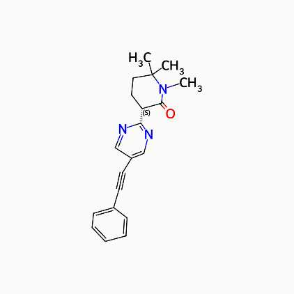 CN1C(=O)[C@H](c2ncc(C#Cc3ccccc3)cn2)CCC1(C)C